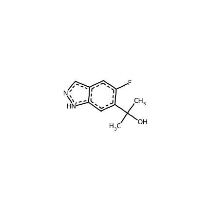 CC(C)(O)c1cc2[nH]ncc2cc1F